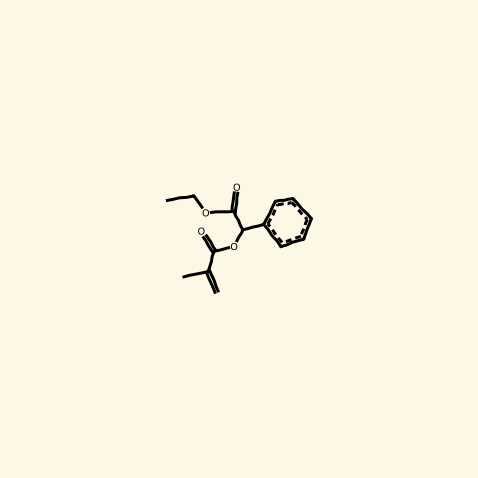 C=C(C)C(=O)OC(C(=O)OCC)c1ccccc1